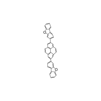 c1ccc2c(c1)oc1cc(-c3cc4ccc5cc(-c6ccc7c(c6)oc6ccccc67)cc6ccc(c3)c4c56)ccc12